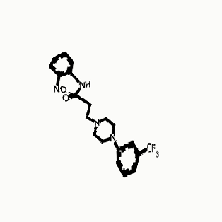 O=C(CCN1CCN(c2cccc(C(F)(F)F)c2)CC1)Nc1ccccc1[N+](=O)[O-]